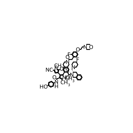 Cc1c(-c2c(C(=O)Nc3ccc(O)cc3)c(C)n(C)c2-c2cc3c(cc2C(=O)N2Cc4ccccc4C[C@H]2CN2CCC(F)CC2)CN(C(=O)Cc2ccc(OCCN4CCOCC4)cc2F)CC3)cc(C#N)n1C